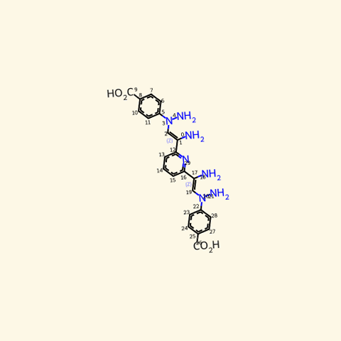 N/C(=C\N(N)c1ccc(C(=O)O)cc1)c1cccc(/C(N)=C/N(N)c2ccc(C(=O)O)cc2)n1